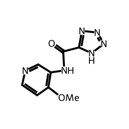 COc1ccncc1NC(=O)c1nnn[nH]1